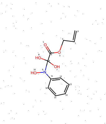 C=CCOC(=O)C(O)(O)N(O)c1ccccc1